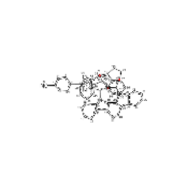 N#Cc1ccc(-c2nc3c(-n4c5ccccc5c5ccc6c7ccccc7n(C7=C/CC/C(c8ccccc8)=N/C(c8ccccc8)=N\7)c6c54)cccc3o2)cc1